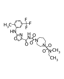 CCN(C)S(=O)(=O)N1CCCN(S(=O)(=O)NC(=O)c2coc(Nc3cc(C(F)(F)F)ccc3C)n2)CC1